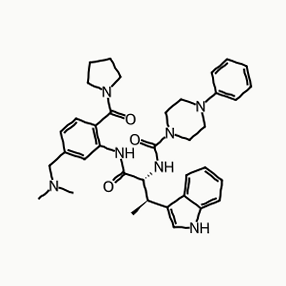 C[C@H](c1c[nH]c2ccccc12)[C@@H](NC(=O)N1CCN(c2ccccc2)CC1)C(=O)Nc1cc(CN(C)C)ccc1C(=O)N1CCCC1